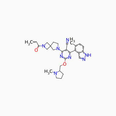 C=CC(=O)N1CC2(CCN(c3nc(OCC4CCCN4C)nc(-c4c(C)ccc5[nH]ncc45)c3C#N)C2)C1